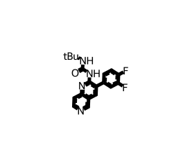 CC(C)(C)NC(=O)Nc1nc2ccncc2cc1-c1ccc(F)c(F)c1